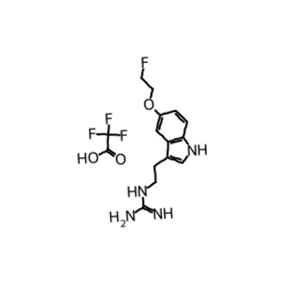 N=C(N)NCCc1c[nH]c2ccc(OCCF)cc12.O=C(O)C(F)(F)F